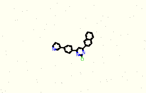 Clc1nc(-c2ccc(-c3cccnc3)cc2)cc(-c2ccc3ccccc3c2)n1